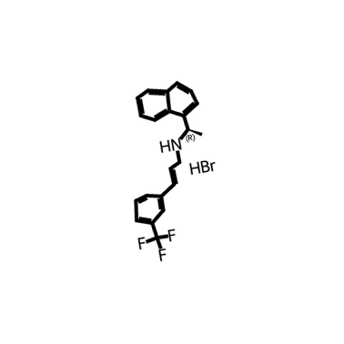 Br.C[C@@H](NCC=Cc1cccc(C(F)(F)F)c1)c1cccc2ccccc12